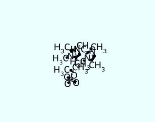 CC(C)OP(=O)([O-])[O-].CC1=[N+](C)C(C)CN1C.CC1=[N+](C)C(C)CN1C